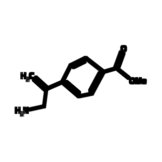 C=C(CN)c1ccc(C(=O)OC)cc1